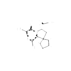 Nc1nc(Cl)c2n(c1=O)[C@H](C(=O)O)CC21CCCC1